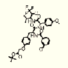 COc1ccc(C(NC(=O)C(Cc2ccc(OCC(=O)OC(C)(C)C)cc2)NC(=O)c2cccc(Cl)c2)C(=O)NC(C(=O)C(F)(F)F)C(C)C)cc1